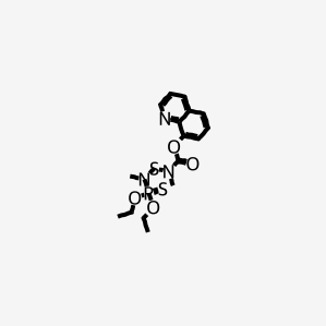 CCOP(=S)(OCC)N(C)SN(C)C(=O)Oc1cccc2cccnc12